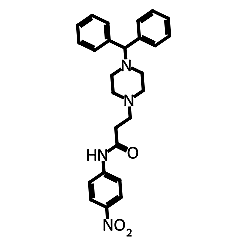 O=C(CCN1CCN(C(c2ccccc2)c2ccccc2)CC1)Nc1ccc([N+](=O)[O-])cc1